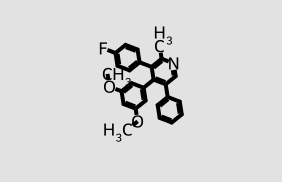 COc1cc(OC)cc(-c2c(-c3ccccc3)cnc(C)c2-c2ccc(F)cc2)c1